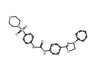 O=C(Nc1ccc(C2=N[C@@H](c3ccccc3)CO2)cc1)Nc1ccc(S(=O)(=O)N2CCOCC2)cc1